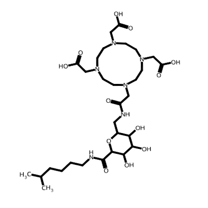 CC(C)CCCCNC(=O)C1OC(CNC(=O)CN2CCN(CC(=O)O)CCN(CC(=O)O)CCN(CC(=O)O)CC2)C(O)C(O)C1O